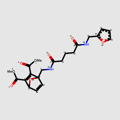 COC(=O)C1=C(C(=O)OC)C2(CNC(=O)CCCC(=O)NCc3ccco3)C=CC1O2